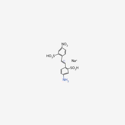 Nc1ccc(/C=C/c2ccc([N+](=O)[O-])cc2S(=O)(=O)O)c(S(=O)(=O)O)c1.[Na+]